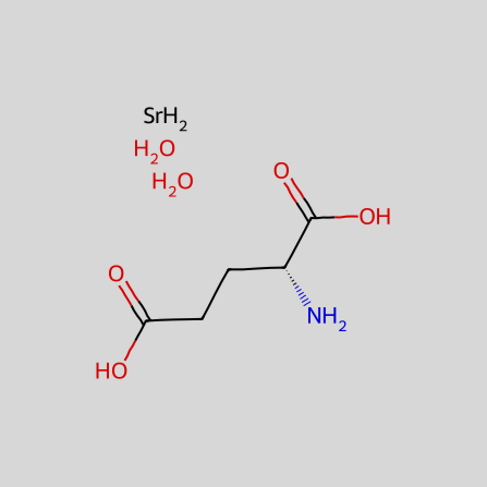 N[C@H](CCC(=O)O)C(=O)O.O.O.[SrH2]